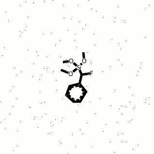 CO[Si](OC)(OC)C(F)c1ccccc1